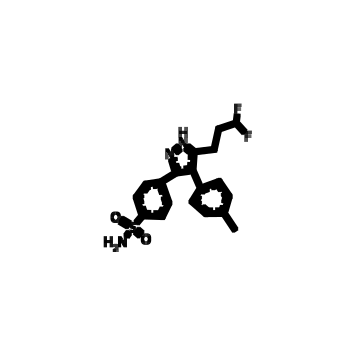 Cc1ccc(-c2c(-c3ccc(S(N)(=O)=O)cc3)n[nH]c2CCC(F)F)cc1